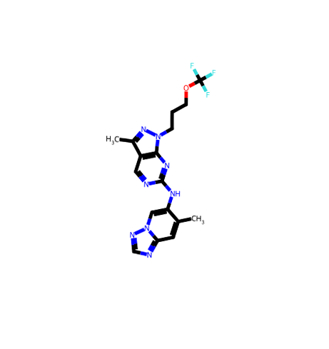 Cc1cc2ncnn2cc1Nc1ncc2c(C)nn(CCCOC(F)(F)F)c2n1